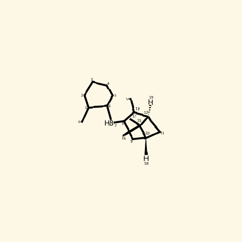 CC1CCCCC1BC1C[C@H]2C[C@H](C1C)C2(C)C